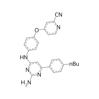 CCCCc1ccc(-c2cc(Nc3ccc(Oc4ccnc(C#N)c4)cc3)nc(N)n2)cc1